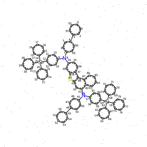 c1ccc(-c2ccc(N(c3ccc([Si](c4ccccc4)(c4ccccc4)c4ccccc4)cc3)c3ccc4c(c3)sc3cc(N(c5ccc(-c6ccccc6)cc5)c5ccc([Si](c6ccccc6)(c6ccccc6)c6ccccc6)cc5)c5ccccc5c34)cc2)cc1